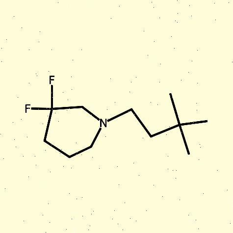 CC(C)(C)CCN1CCCC(F)(F)C1